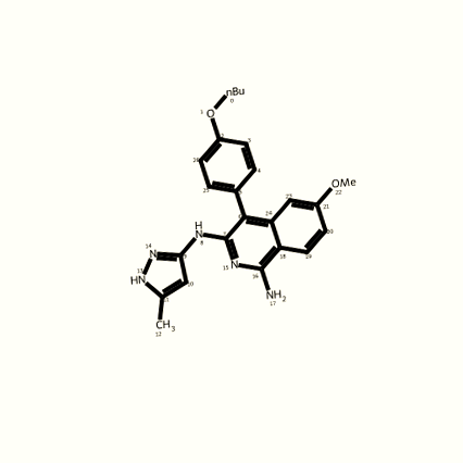 CCCCOc1ccc(-c2c(Nc3cc(C)[nH]n3)nc(N)c3ccc(OC)cc23)cc1